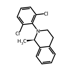 C[C@@H]1c2ccccc2CCN1c1c(Cl)cccc1Cl